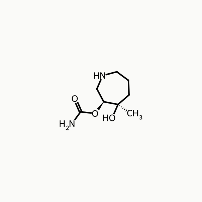 C[C@@]1(O)CCCNC[C@@H]1OC(N)=O